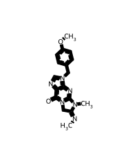 C/N=C1\Cn2c(nc3c(ncn3Cc3ccc(OC)cc3)c2=O)N1C